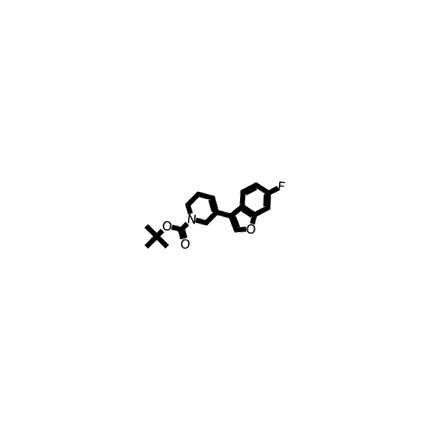 CC(C)(C)OC(=O)N1CCC=C(c2coc3cc(F)ccc23)C1